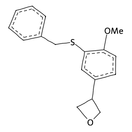 COc1ccc(C2COC2)cc1SCc1ccccc1